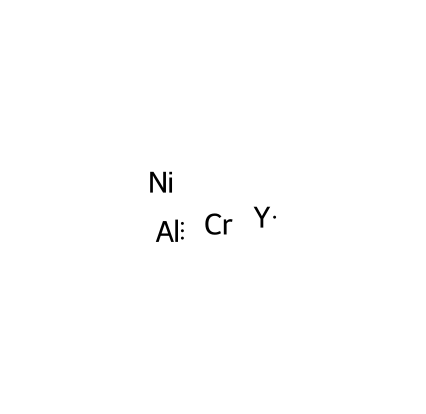 [Al].[Cr].[Ni].[Y]